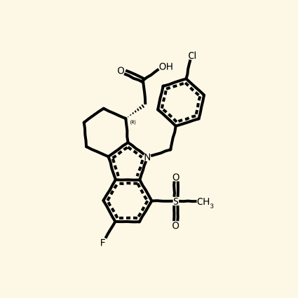 CS(=O)(=O)c1cc(F)cc2c3c(n(Cc4ccc(Cl)cc4)c12)[C@@H](CC(=O)O)CCC3